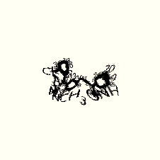 Cc1nnc2n1-c1ccc(CC#CC3C(=O)Nc4ccccc43)cc1C(c1ccccc1Cl)=NC2